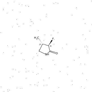 C[C@H]1CNC(=O)[C@@H]1F